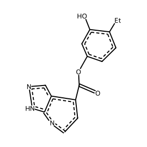 CCc1ccc(OC(=O)c2ccnc3[nH]ncc23)cc1O